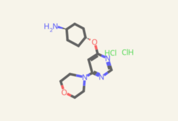 Cl.Cl.N[C@H]1CC[C@H](Oc2cc(N3CCOCC3)ncn2)CC1